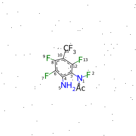 CC(=O)N(F)c1c(N)c(F)c(F)c(C(F)(F)F)c1F